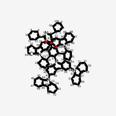 c1ccc(-c2nc(-c3ccccc3)nc(-c3cc(-c4ccccc4-n4c5ccccc5c5ccccc54)c(-n4c5ccc(-n6c7ccccc7c7ccccc76)cc5c5cc(-n6c7ccccc7c7ccccc76)ccc54)c(-c4ccccc4-n4c5ccccc5c5ccccc54)c3)n2)cc1